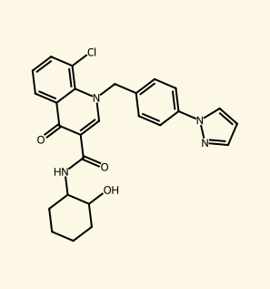 O=C(NC1CCCCC1O)c1cn(Cc2ccc(-n3cccn3)cc2)c2c(Cl)cccc2c1=O